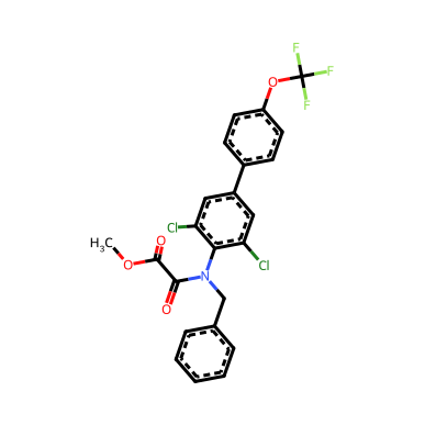 COC(=O)C(=O)N(Cc1ccccc1)c1c(Cl)cc(-c2ccc(OC(F)(F)F)cc2)cc1Cl